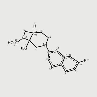 CC(C)(C)C12CN(c3cnc4ccc(F)cc4n3)CC[C@@H]1CN2C(=O)O